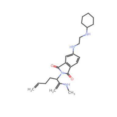 C=CCCC(C(=C)NC)N1C(=O)c2ccc(NCCNC3CCCCC3)cc2C1=O